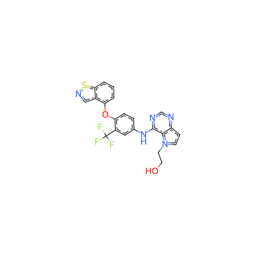 OCCn1ccc2ncnc(Nc3ccc(Oc4cccc5sncc45)c(C(F)(F)F)c3)c21